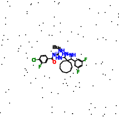 CC[C@@H](C)N/C(=N/C(=O)c1ccc(Cl)c(F)c1)NC1NNC(c2cc(F)cc(F)c2)C12CCCCCCCC2